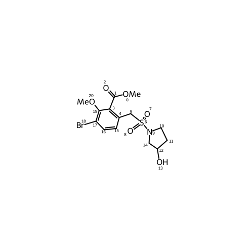 COC(=O)c1c(CS(=O)(=O)N2CCC(O)C2)ccc(Br)c1OC